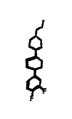 CCCC1CCC(C2=CCC(c3ccc(F)c(F)c3)CC2)CC1